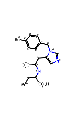 CC(C)CC(NC(Cc1cncn1Cc1ccc(C(C)(C)C)cc1)C(=O)O)C(=O)O